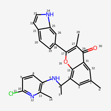 Cc1cc(C(C)Nc2ccc(Cl)nc2C)c2oc(-c3ccc4cc[nH]c4c3)c(C)c(=O)c2c1